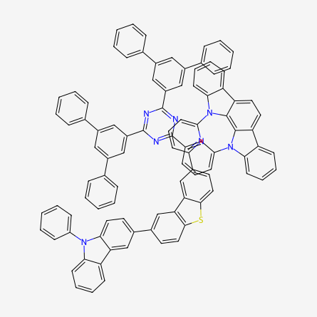 c1ccc(-c2cc(-c3ccccc3)cc(-c3nc(-c4cc(-c5ccccc5)cc(-c5ccccc5)c4)nc(-c4cccc(-n5c6ccccc6c6ccc7c8ccccc8n(-c8cccc(-c9ccc%10sc%11ccc(-c%12ccc%13c(c%12)c%12ccccc%12n%13-c%12ccccc%12)cc%11c%10c9)n8)c7c65)c4)n3)c2)cc1